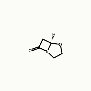 O=C1C[C@H]2OCCN12